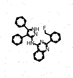 FCc1ccccc1-c1nc(Nc2n[nH]c(-c3ccccc3)c2-c2ccccc2)c2ccccc2n1